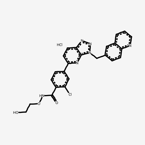 Cl.O=C(NOCCO)c1ccc(-c2ccc3nnn(Cc4ccc5ncccc5c4)c3n2)cc1Cl